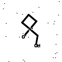 [O-][N+]1(CO)CCC1